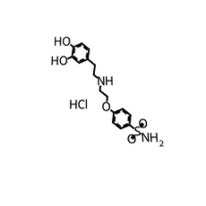 Cl.NS(=O)(=O)c1ccc(OCCNCCc2ccc(O)c(O)c2)cc1